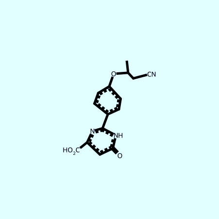 CC(CC#N)Oc1ccc(-c2nc(C(=O)O)cc(=O)[nH]2)cc1